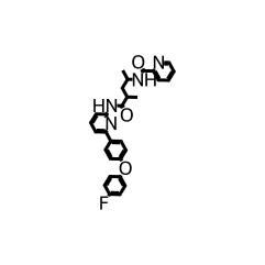 CC(CC(C)C(=O)Nc1cccc(-c2ccc(Oc3ccc(F)cc3)cc2)n1)NC(=O)c1ccccn1